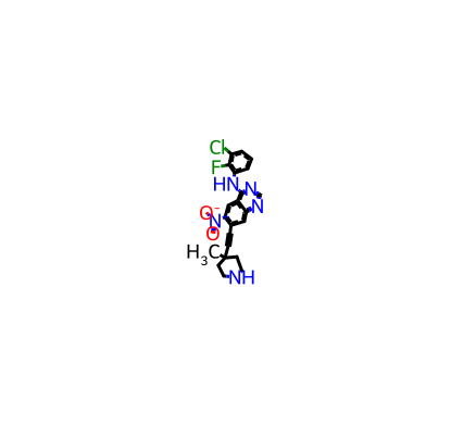 CC1(C#Cc2cc3ncnc(Nc4cccc(Cl)c4F)c3cc2[N+](=O)[O-])CCNCC1